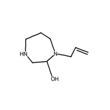 C=CCN1CCCNCC1O